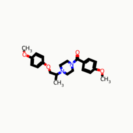 COc1ccc(OCC(C)N2CCN(C(=O)c3ccc(OC)cc3)CC2)cc1